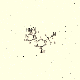 CCC(C)(C#N)c1cc(Br)cc(-c2ccnc3[nH]ncc23)c1